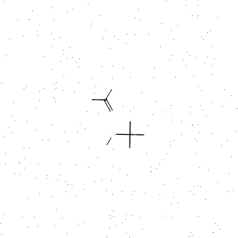 CC(=O)O.CC(O)(O)NO